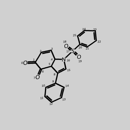 O=C1C=CC2C(C1=O)C(c1ccccc1)=CN2S(=O)(=O)c1ccccc1